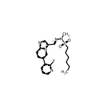 CCCCCCS(=O)(=O)N(C)/N=C/c1cnc2ccc(-c3cccnc3F)cn12